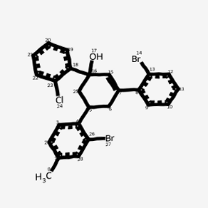 Cc1ccc(C2CC(c3ccccc3Br)=CC(O)(c3ccccc3Cl)C2)c(Br)c1